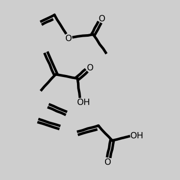 C=C.C=C.C=C(C)C(=O)O.C=CC(=O)O.C=COC(C)=O